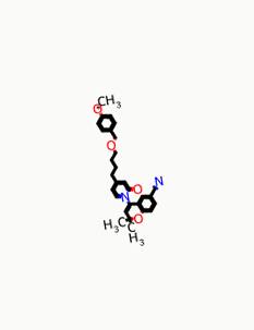 COc1ccc(COCCCCc2ccn(C3=CC(C)(C)Oc4ccc(C#N)cc43)c(=O)c2)cc1